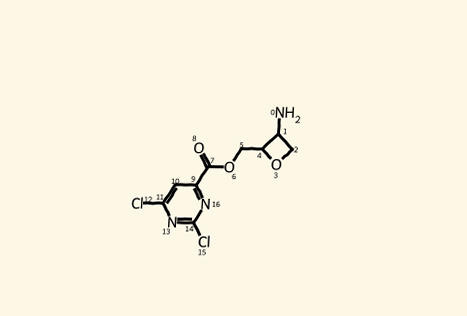 NC1COC1COC(=O)c1cc(Cl)nc(Cl)n1